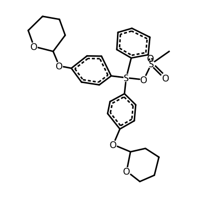 CS(=O)(=O)OS(c1ccccc1)(c1ccc(OC2CCCCO2)cc1)c1ccc(OC2CCCCO2)cc1